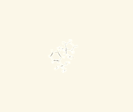 FC(F)(F)c1cccc(OC2(CCl)CCCC2)c1